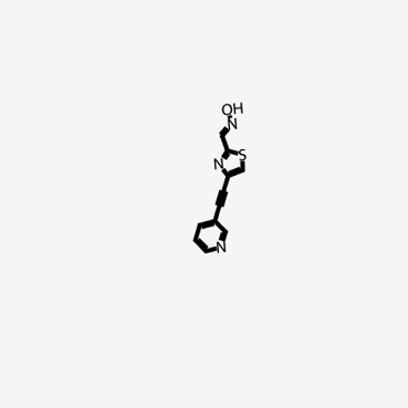 O/N=C/c1nc(C#Cc2cccnc2)cs1